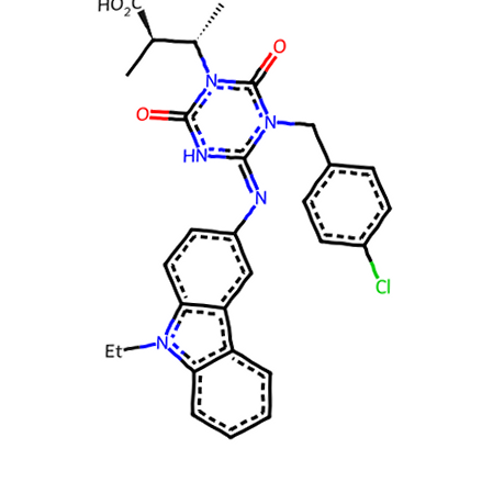 CCn1c2ccccc2c2cc(/N=c3\[nH]c(=O)n([C@@H](C)[C@@H](C)C(=O)O)c(=O)n3Cc3ccc(Cl)cc3)ccc21